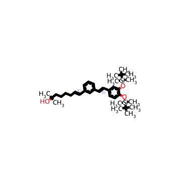 CC(C)(O)CCCC/C=C/c1cccc(/C=C/c2ccc(O[Si](C)(C)C(C)(C)C)c(O[Si](C)(C)C(C)(C)C)c2)c1